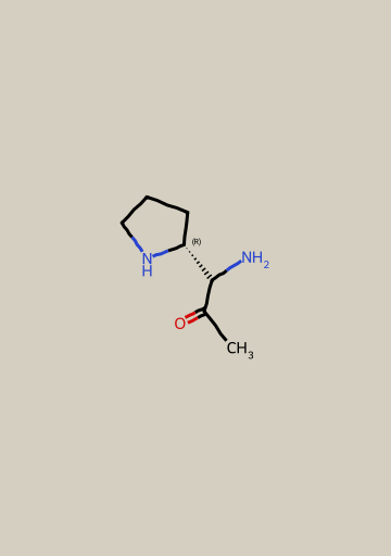 CC(=O)C(N)[C@H]1CCCN1